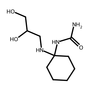 NC(=O)NC1(NCC(O)CO)CCCCC1